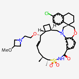 COC1CN(CCO[C@H]2/C=C/C[C@H](C)[C@@H](C)S(=O)(=O)NC(=O)c3ccc4c(c3)N(C[C@@H]3CC[C@H]32)C[C@@]2(CCCc3cc(Cl)ccc32)CO4)C1